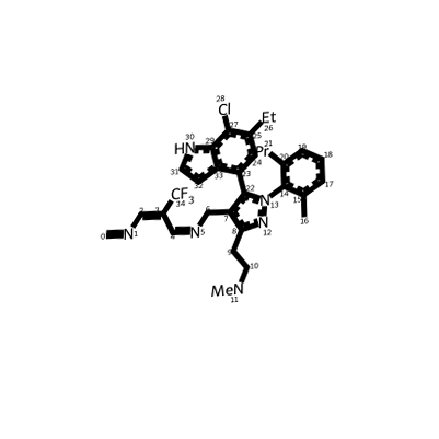 C=N/C=C(\C=N/Cc1c(CCNC)nn(-c2c(C)cccc2CCC)c1-c1cc(CC)c(Cl)c2[nH]ccc12)C(F)(F)F